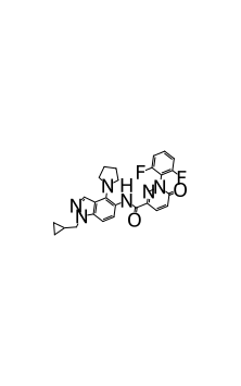 O=C(Nc1ccc2c(cnn2CC2CC2)c1N1CCCC1)c1ccc(=O)n(-c2c(F)cccc2F)n1